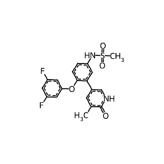 Cc1cc(-c2cc(NS(C)(=O)=O)ccc2Oc2cc(F)cc(F)c2)c[nH]c1=O